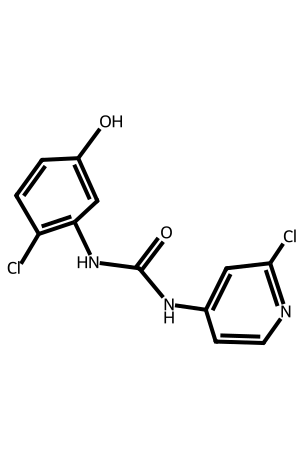 O=C(Nc1ccnc(Cl)c1)Nc1cc(O)ccc1Cl